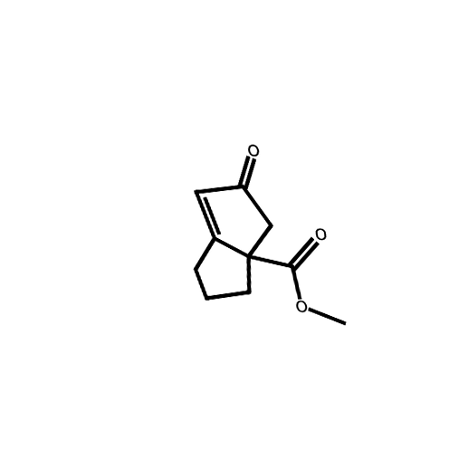 COC(=O)C12CCCC1=CC(=O)C2